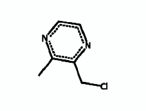 Cc1nccnc1CCl